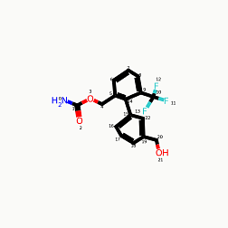 NC(=O)OCc1cccc(C(F)(F)F)c1-c1cccc(CO)c1